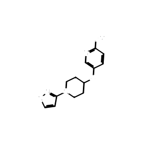 COc1ccc(OC2CCN(c3cc[nH]n3)CC2)cn1